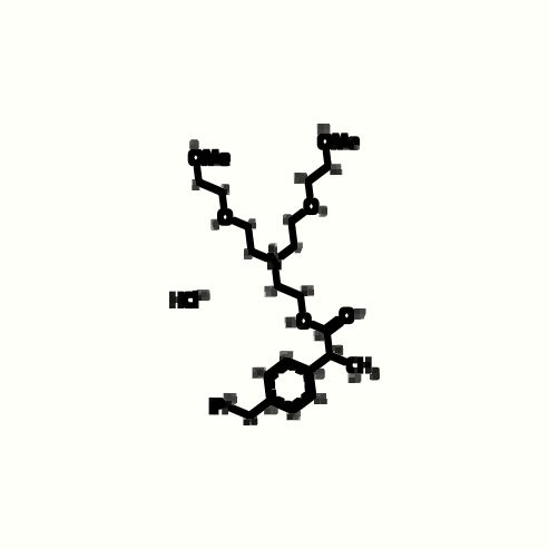 COCCOCCN(CCOCCOC)CCOC(=O)C(C)c1ccc(CC(C)C)cc1.Cl